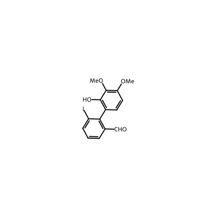 COc1ccc(-c2c(I)cccc2C=O)c(O)c1OC